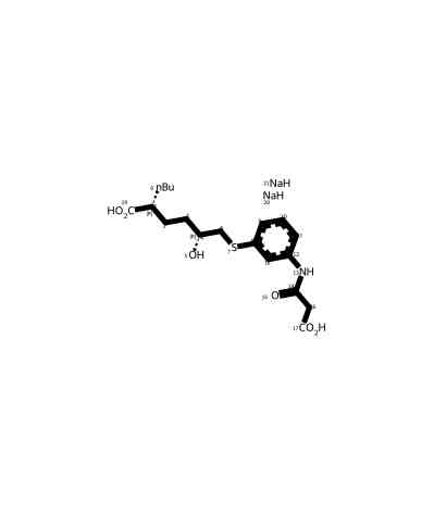 CCCC[C@H](CC[C@@H](O)CSc1cccc(NC(=O)CC(=O)O)c1)C(=O)O.[NaH].[NaH]